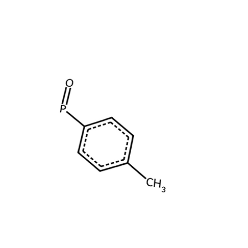 Cc1ccc(P=O)cc1